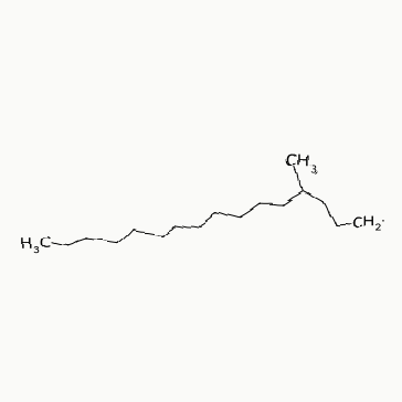 [CH2]CCC(C)CCCCCCCCCCCC